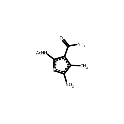 CC(=O)Nc1sc([N+](=O)[O-])c(C)c1C(N)=O